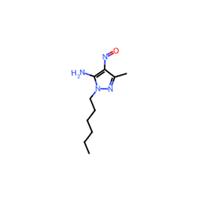 CCCCCCn1nc(C)c(N=O)c1N